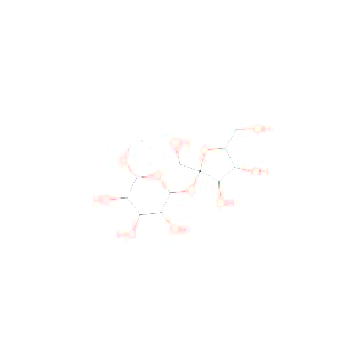 COC1OC(OC2(CO)OC(CO)C(O)C2O)C(O)C(O)C1O